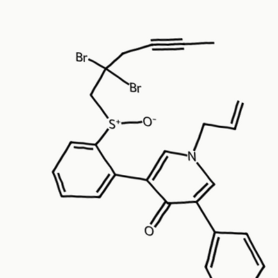 C=CCn1cc(-c2ccccc2)c(=O)c(-c2ccccc2[S+]([O-])CC(Br)(Br)CC#CC)c1